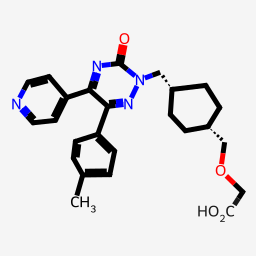 Cc1ccc(-c2nn(C[C@H]3CC[C@@H](COCC(=O)O)CC3)c(=O)nc2-c2ccncc2)cc1